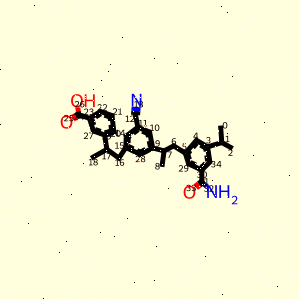 CC(C)c1cc(CC(C)c2cc(C#N)cc(CC(C)c3cccc(C(=O)O)c3)c2)cc(C(N)=O)c1